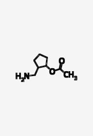 CC(=O)OC1CCCC1CN